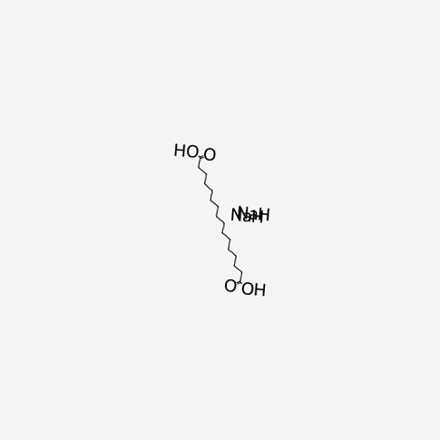 O=C(O)CCCCCCCCCCCCCCC(=O)O.[NaH].[NaH]